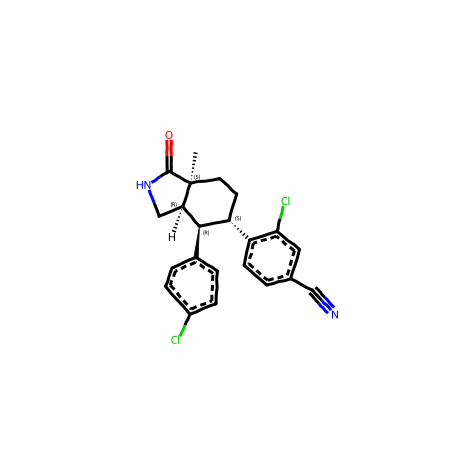 C[C@]12CC[C@H](c3ccc(C#N)cc3Cl)[C@@H](c3ccc(Cl)cc3)[C@H]1CNC2=O